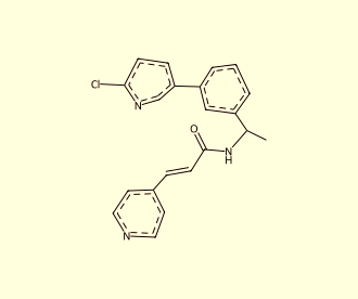 CC(NC(=O)C=Cc1ccncc1)c1cccc(-c2ccc(Cl)nc2)c1